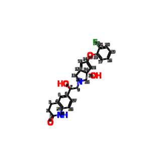 O=C1CCc2cc([C@@H](O)CN3CC4=CC(Oc5ccccc5F)=C[C@@]4(O)C3)ccc2N1